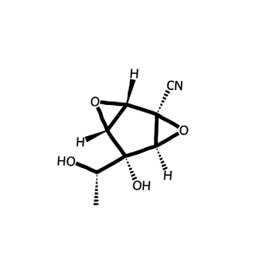 C[C@H](O)[C@@]1(O)[C@@H]2O[C@@H]2[C@@]2(C#N)O[C@H]21